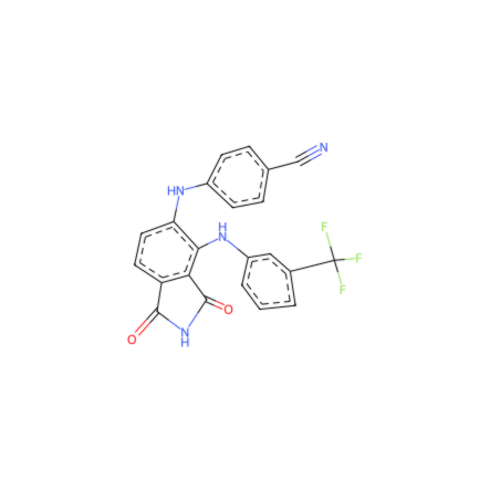 N#Cc1ccc(Nc2ccc3c(c2Nc2cccc(C(F)(F)F)c2)C(=O)NC3=O)cc1